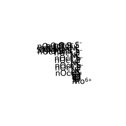 CCCCCCCCN(CCCCCCCC)C(=S)[S-].CCCCCCCCN(CCCCCCCC)C(=S)[S-].CCCCCCCCN(CCCCCCCC)C(=S)[S-].CCCCCCCCN(CCCCCCCC)C(=S)[S-].CCCCCCCCN(CCCCCCCC)C(=S)[S-].CCCCCCCCN(CCCCCCCC)C(=S)[S-].O=S.O=S.O=S.O=S.O=S.O=S.[Mo+6]